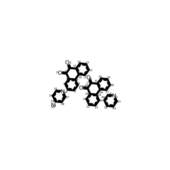 O=C1C(=O)c2ccccc2-c2ccccc21.O=C1C(=O)c2ccccc2-c2ccccc21.[Ni].c1ccncc1.c1ccncc1